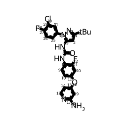 CC(C)(C)c1cc(NC(=O)Nc2ccc(Oc3ccnc(N)c3)cc2F)n(-c2ccc(F)c(Cl)c2)n1